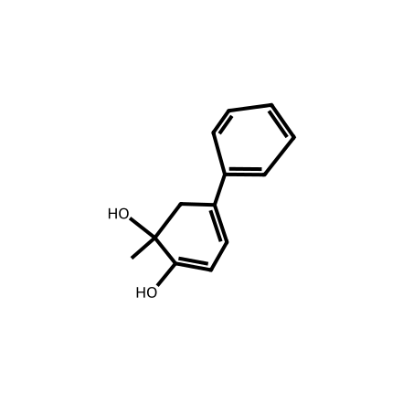 CC1(O)CC(c2ccccc2)=CC=C1O